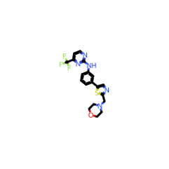 FC(F)(F)c1ccnc(Nc2cccc(-c3cnc(CN4CCOCC4)s3)c2)n1